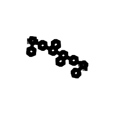 c1ccc(-c2nccn2-c2ccc(-c3ccc(-c4ccc(-c5ccc(-n6ccnc6-c6ccccc6)cc5)c5ccccc45)c4ccccc34)cc2)cc1